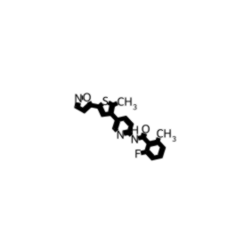 Cc1cccc(F)c1C(=O)Nc1ccc(-c2cc(-c3ccno3)sc2C)cn1